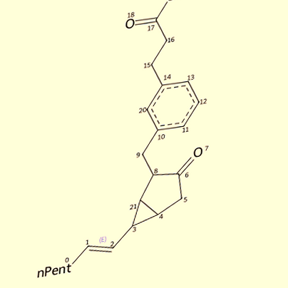 CCCCC/C=C/C1C2CC(=O)C(Cc3cccc(CCC(=O)OC)c3)C12